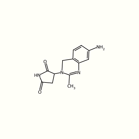 CC1=Nc2cc(N)ccc2CN1C1CC(=O)NC1=O